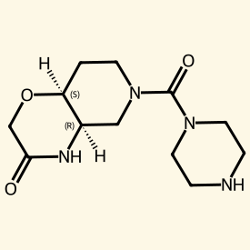 O=C1CO[C@H]2CCN(C(=O)N3CCNCC3)C[C@H]2N1